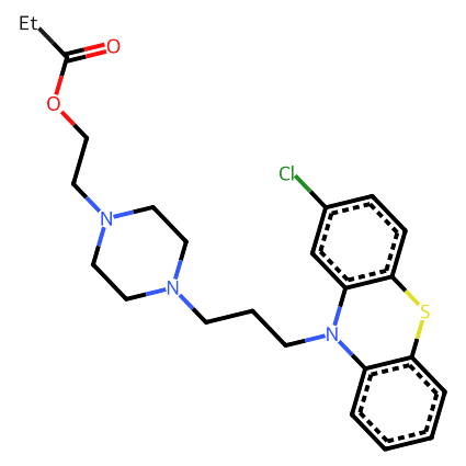 CCC(=O)OCCN1CCN(CCCN2c3ccccc3Sc3ccc(Cl)cc32)CC1